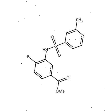 COC(=O)c1ccc(F)c(NS(=O)(=O)c2cccc(C)c2)c1